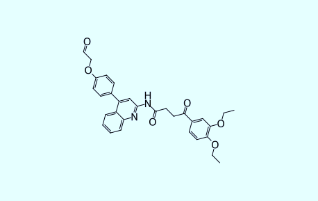 CCOc1ccc(C(=O)CCC(=O)Nc2cc(-c3ccc(OCC=O)cc3)c3ccccc3n2)cc1OCC